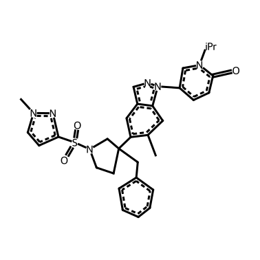 Cc1cc2c(cnn2-c2ccc(=O)n(C(C)C)c2)cc1C1(Cc2ccccc2)CCN(S(=O)(=O)c2ccn(C)n2)C1